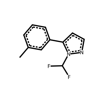 Cc1cccc(-c2ccnn2C(F)F)c1